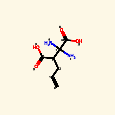 C=CCC(C(=O)O)C(N)(N)C(=O)O